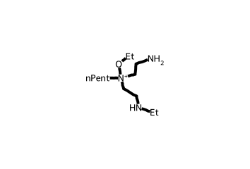 CCCCC[N+](CCN)(CCNCC)OCC